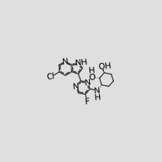 O[C@H]1[C@@H](Nc2nc(-c3c[nH]c4ncc(Cl)cc34)ncc2F)CCC[C@@H]1O